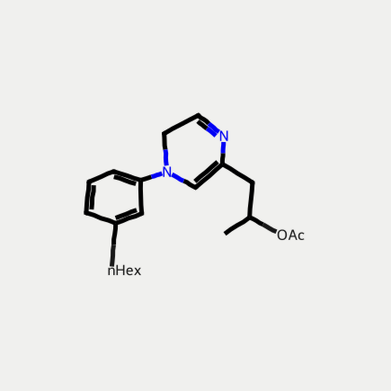 CCCCCCc1cccc(N2C=C(CC(C)OC(C)=O)N=CC2)c1